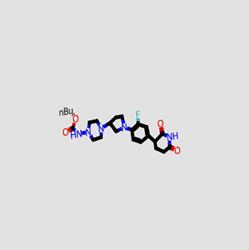 CCCCOC(=O)NN1CCN(C2CCN(c3ccc(C4CCC(=O)NC4=O)cc3F)C2)CC1